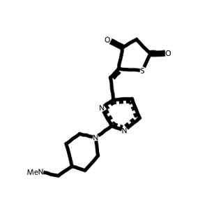 CNCC1CCN(c2nccc(/C=C3\SC(=O)CC3=O)n2)CC1